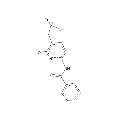 CC[C@H](O)Cn1ccc(NC(=O)c2ccccc2)nc1=O